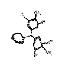 CC(C)c1cc(C(c2ccccc2)c2cc(C(C)C)c(N)c(C(C)C)c2)cc(C(C)C)c1N